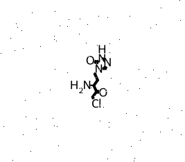 N[C@@H](CCn1cn[nH]c1=O)C(=O)CCl